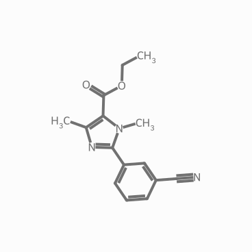 CCOC(=O)c1c(C)nc(-c2cccc(C#N)c2)n1C